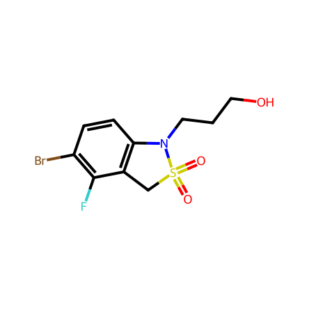 O=S1(=O)Cc2c(ccc(Br)c2F)N1CCCO